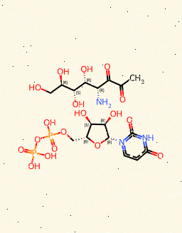 CC(=O)C(=O)[C@H](N)[C@@H](O)[C@H](O)[C@H](O)CO.O=c1ccn([C@@H]2O[C@H](COP(=O)(O)OP(=O)(O)O)[C@@H](O)[C@H]2O)c(=O)[nH]1